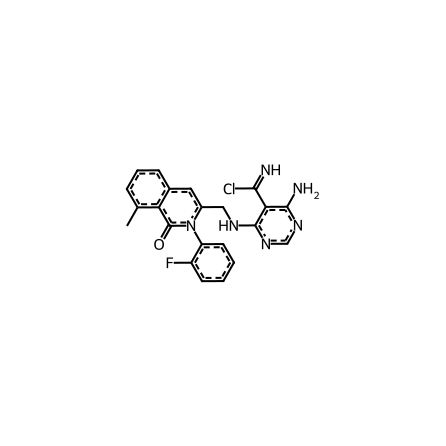 Cc1cccc2cc(CNc3ncnc(N)c3C(=N)Cl)n(-c3ccccc3F)c(=O)c12